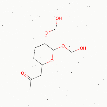 CC(=O)CC1CC[C@H](OCO)C(OCO)O1